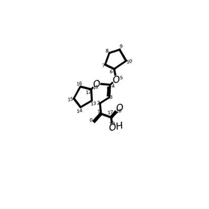 C=C(CC=C(OC1CCCC1)OC1CCCC1)C(=O)O